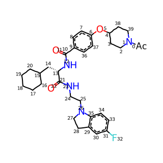 CC(=O)N1CCC(Oc2ccc(C(=O)N[C@@H](CC3CCCCC3)C(=O)NCCN3CCc4cc(F)ccc43)cc2)CC1